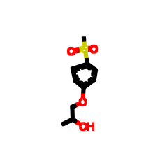 CC(O)COc1ccc(S(C)(=O)=O)cc1